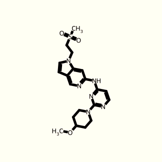 COC1CCN(c2nccc(Nc3cc4c(ccn4CCS(C)(=O)=O)cn3)n2)CC1